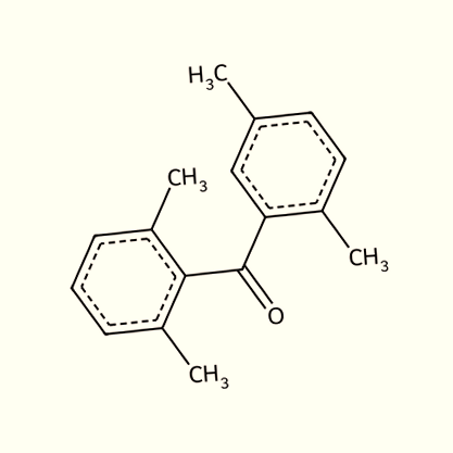 Cc1ccc(C)c(C(=O)c2c(C)cccc2C)c1